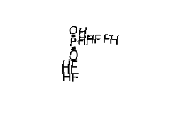 F.F.F.F.F.F.O=[P]=O